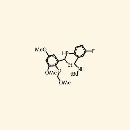 CCC(Pc1ccc(F)cc1CNC(C)(C)C)c1cc(OC)cc(OC)c1OCOC